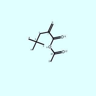 C=C(CC(C)(C)C)C(=O)OC(C)=O